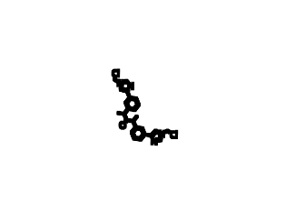 CC(C(=O)C(C)c1cccc(-c2cn(CCl)cn2)c1)c1cccc(-c2cn(CCl)cn2)c1